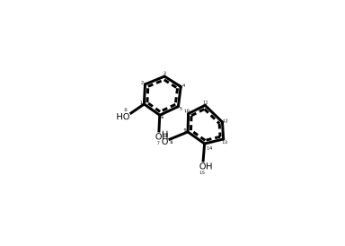 Oc1ccccc1O.Oc1ccccc1O